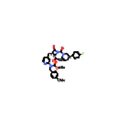 CNC(=O)[C@@H]1[C@@H](Cc2ccnc(N(Cc3ccc(OC)cc3)C(=O)OC(C)(C)C)c2)C(=O)N1C(=O)N1CCC[C@H](c2ccc(F)cc2)C1